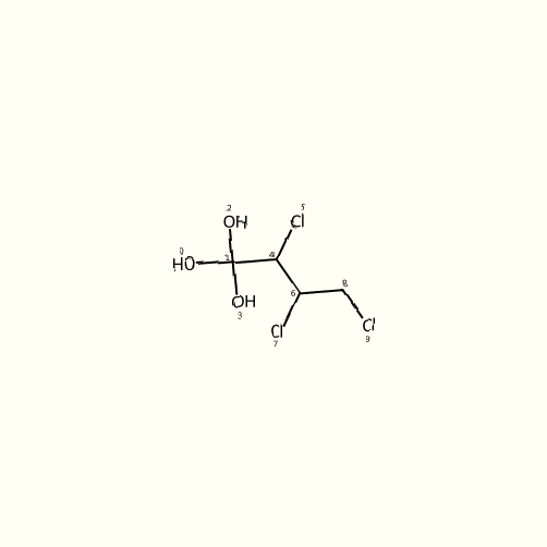 OC(O)(O)C(Cl)C(Cl)CCl